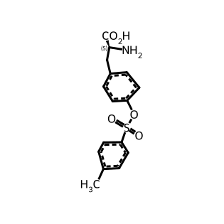 Cc1ccc(S(=O)(=O)Oc2ccc(C[C@H](N)C(=O)O)cc2)cc1